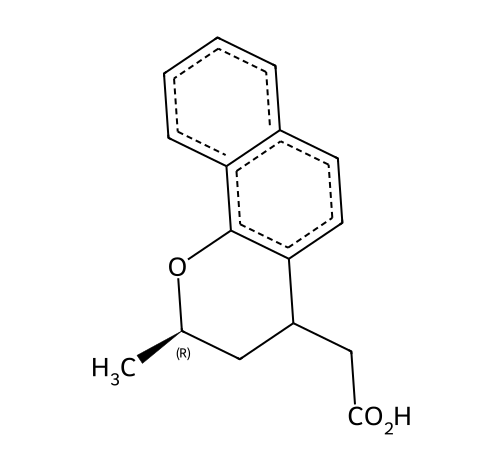 C[C@@H]1CC(CC(=O)O)c2ccc3ccccc3c2O1